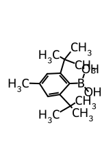 Cc1cc(C(C)(C)C)c(B(O)O)c(C(C)(C)C)c1